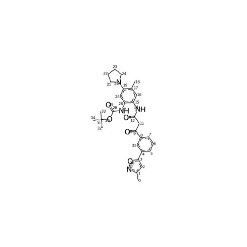 Cc1cc(-c2cccc(C(=O)CC(=O)Nc3cc(C)c(N4CCCC4)cc3NC(=O)OC(C)(C)C)c2)on1